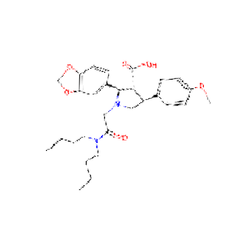 CCCCN(CCCC)C(=O)CN1C[C@H](c2ccc(OC)cc2)[C@@H](C(=O)O)[C@@H]1c1ccc2c(c1)OCO2